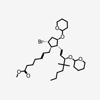 CCCCC(C)(C)[C@@H](C=C[C@@H]1[C@@H](CC=CCCCC(=O)OC)[C@H](Br)C[C@H]1OC1CCCCO1)OC1CCCCO1